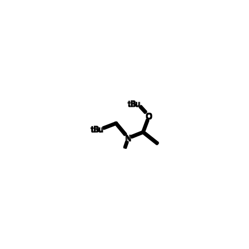 CC(OC(C)(C)C)N(C)CC(C)(C)C